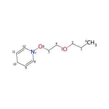 CCCOCCON1C=CCC=C1